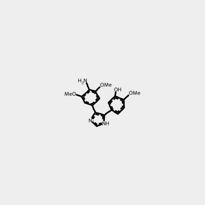 COc1ccc(-c2[nH]cnc2-c2cc(OC)c(N)c(OC)c2)cc1O